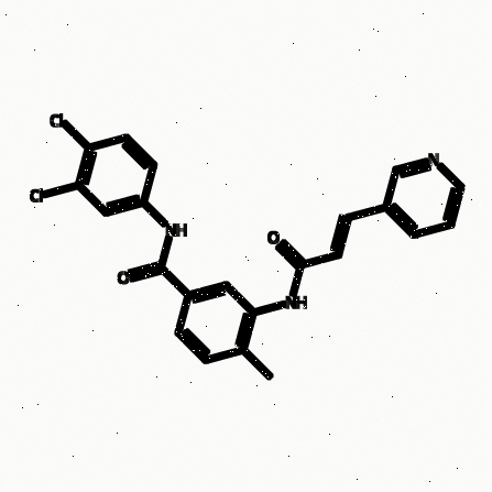 Cc1ccc(C(=O)Nc2ccc(Cl)c(Cl)c2)cc1NC(=O)C=Cc1cccnc1